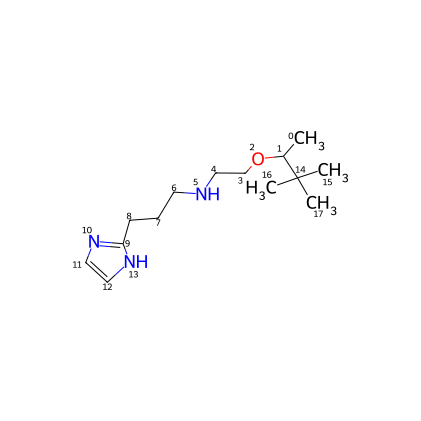 CC(OCCNCCCc1ncc[nH]1)C(C)(C)C